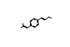 CC(C)=Cc1ccc(C=CCCl)cc1